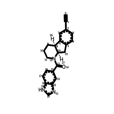 C#Cc1ccc2c(c1)[C@@H]1CCCN(C(=O)c3ccc4[nH]cnc4c3)[C@@H]1C2